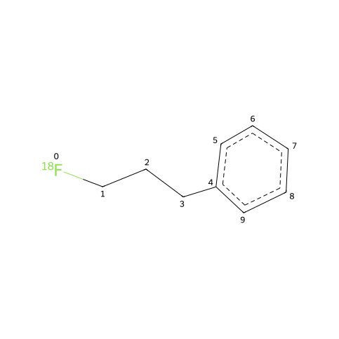 [18F]CCCc1ccccc1